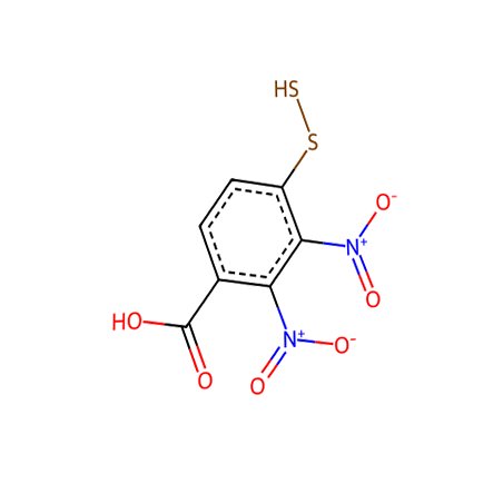 O=C(O)c1ccc(SS)c([N+](=O)[O-])c1[N+](=O)[O-]